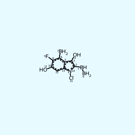 BBc1c(O)c2c(B)c(F)c(O)cc2n1Cl